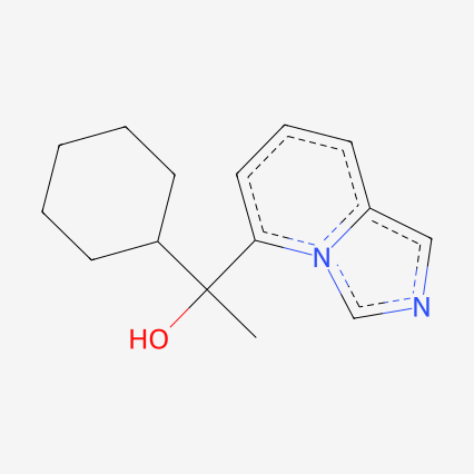 CC(O)(c1cccc2cncn12)C1CCCCC1